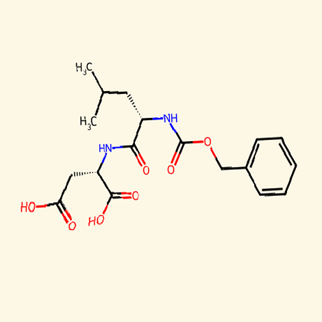 CC(C)C[C@H](NC(=O)OCc1ccccc1)C(=O)N[C@@H](CC(=O)O)C(=O)O